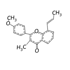 CC=Cc1cccc2c(=O)c(C)c(-c3ccc(OC)cc3)oc12